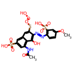 COc1ccc(N=Nc2c(SOOO)cc3cc(S(=O)(=O)O)cc(NC(C)=O)c3c2O)c(S(=O)(=O)O)c1